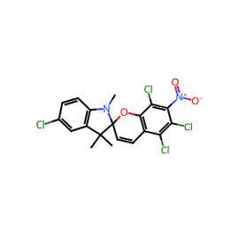 CN1c2ccc(Cl)cc2C(C)(C)C12C=Cc1c(Cl)c(Cl)c([N+](=O)[O-])c(Cl)c1O2